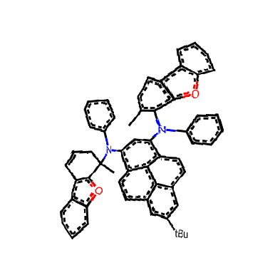 Cc1ccc2c(oc3ccccc32)c1N(c1ccccc1)c1cc(N(c2ccccc2)C2(C)CC=Cc3c2oc2ccccc32)c2ccc3cc(C(C)(C)C)cc4ccc1c2c43